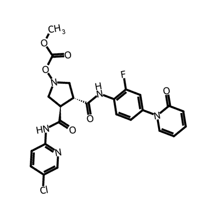 COC(=O)ON1C[C@H](C(=O)Nc2ccc(Cl)cn2)[C@@H](C(=O)Nc2ccc(-n3ccccc3=O)cc2F)C1